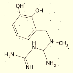 CN(Cc1cccc(O)c1O)C(N)NC(=N)N